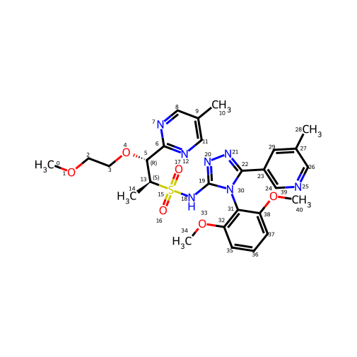 COCCO[C@H](c1ncc(C)cn1)[C@H](C)S(=O)(=O)Nc1nnc(-c2cncc(C)c2)n1-c1c(OC)cccc1OC